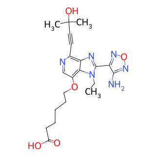 CCn1c(-c2nonc2N)nc2c(C#CC(C)(C)O)ncc(OCCCCCC(=O)O)c21